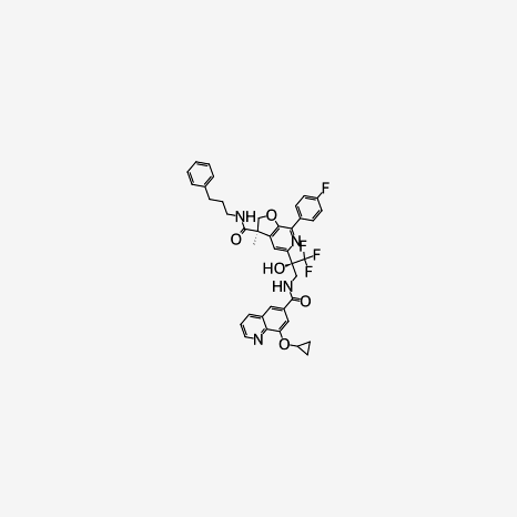 C[C@]1(C(=O)NCCCc2ccccc2)COc2c1cc([C@@](O)(CNC(=O)c1cc(OC3CC3)c3ncccc3c1)C(F)(F)F)nc2-c1ccc(F)cc1